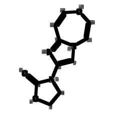 O=C1OCCN1c1cn2c(n1)C=COC=C2